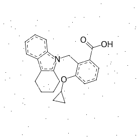 O=C(O)c1cccc(OC2CC2)c1Cn1c2c(c3ccccc31)CCCC2